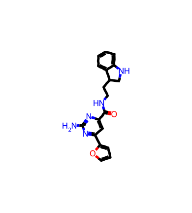 Nc1nc(C(=O)NCCC2CNc3ccccc32)cc(-c2ccco2)n1